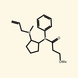 C=CCN(C)C1CCCC1N(C(=O)CCOC)c1ccccc1